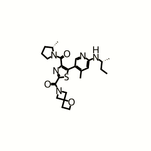 CC[C@@H](C)Nc1cc(C)c(-c2sc(C(=O)N3CC4(CCO4)C3)nc2C(=O)N2CCC[C@@H]2C)cn1